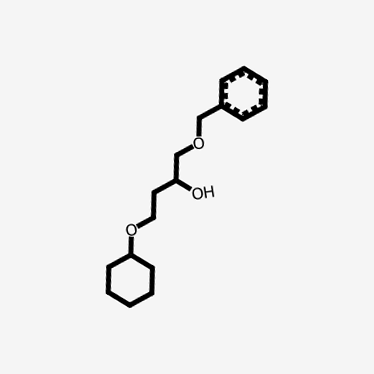 OC(CCOC1CCCCC1)COCc1ccccc1